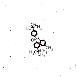 Cc1ccc(SP(=O)(c2ccc(C(C)(C)C)cc2)c2ccc(C(C)(C)C)cc2)cc1